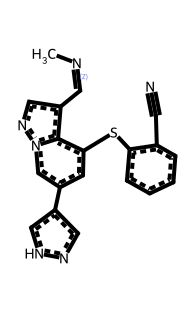 C/N=C\c1cnn2cc(-c3cn[nH]c3)cc(Sc3ccccc3C#N)c12